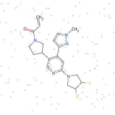 C=CC(=O)N1CCC(c2cnc(N3CC(F)C(F)C3)cc2-c2ccn(C)n2)C1